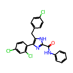 O=C(Nc1ccccc1)c1nc(-c2ccc(Cl)cc2Cl)c(Cc2ccc(Cl)cc2)[nH]1